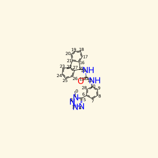 Cn1nnnc1-c1cccc(NC(=O)NC2c3ccccc3-c3ccccc32)c1